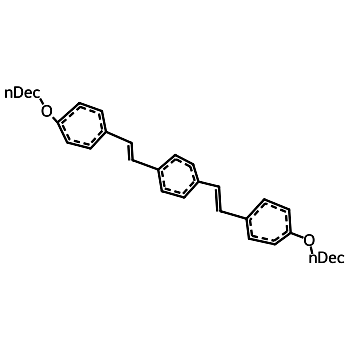 CCCCCCCCCCOc1ccc(/C=C/c2ccc(/C=C/c3ccc(OCCCCCCCCCC)cc3)cc2)cc1